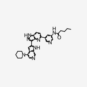 CCCCC(=O)Nc1cncc(-c2ccc3[nH]nc(-c4cc5c(N6CCCCC6)cncc5[nH]4)c3n2)c1